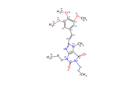 CCCn1c(=O)c2c(nc(C=Cc3cc(OC)c(OC)c(OC)c3)n2C)n(CCC)c1=O